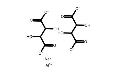 O=C([O-])C(O)C(O)C(=O)[O-].O=C([O-])C(O)C(O)C(=O)[O-].[Al+3].[Na+]